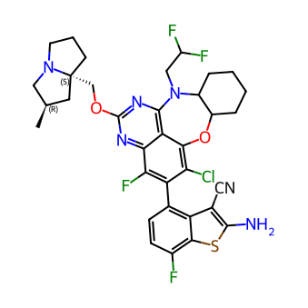 C[C@H]1CN2CCC[C@@]2(COc2nc3c4c(c(Cl)c(-c5ccc(F)c6sc(N)c(C#N)c56)c(F)c4n2)OC2CCCCC2N3CC(F)F)C1